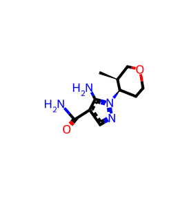 C[C@H]1COCC[C@H]1n1ncc(C(N)=O)c1N